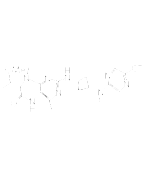 COC(C)[C@H]1C(=O)Nc2c(C)nc(N[C@H]3C[C@@H](N(C)c4cnc(C(F)(F)F)cn4)C3)nc2N1C